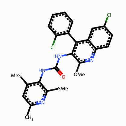 COc1nc2ccc(Cl)cc2c(-c2ccccc2Cl)c1NC(=O)Nc1c(SC)cc(C)nc1SC